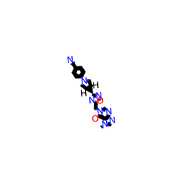 Cn1cnc2ncn(Cc3nc([C@@H]4[C@@H]5CN(c6ccc(C#N)cc6)C[C@@H]54)no3)c(=O)c21